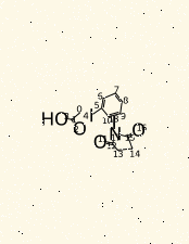 CC(=O)O.Ic1ccccc1.O=C1CCC(=O)N1I